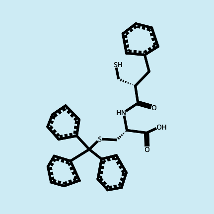 O=C(N[C@@H](CSC(c1ccccc1)(c1ccccc1)c1ccccc1)C(=O)O)[C@H](CS)Cc1ccccc1